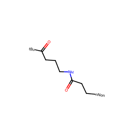 CCCCCCCCCCCC(=O)NCCCC(=O)C(C)(C)C